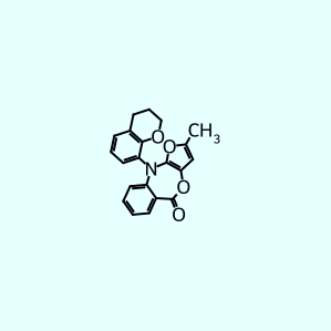 Cc1cc2c(o1)N(c1cccc3c1OCCC3)c1ccccc1C(=O)O2